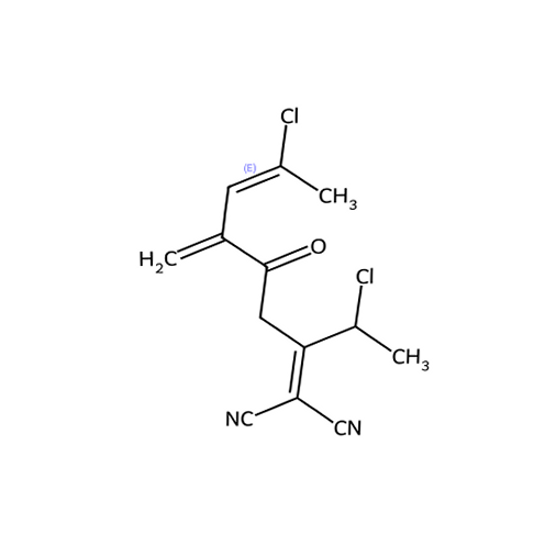 C=C(/C=C(\C)Cl)C(=O)CC(=C(C#N)C#N)C(C)Cl